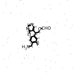 NCc1ccc(C(COC=O)c2cncnc2Cl)cc1F